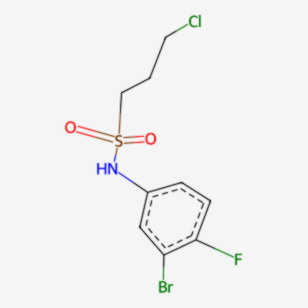 O=S(=O)(CCCCl)Nc1ccc(F)c(Br)c1